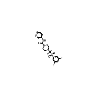 CC(C)(C1CCN(C(=O)Nc2ccnnc2)CC1)S(=O)(=O)c1cc(F)cc(F)c1